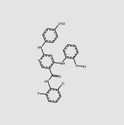 CCSc1ccccc1Nc1nc(Nc2ccc(C=O)cc2)ncc1C(=O)Nc1c(F)cccc1Cl